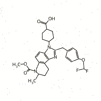 COC(=O)N1c2ccc3c(nc(Cc4ccc(OC(F)F)cc4)n3C3CCC(C(=O)O)CC3)c2CCC1C